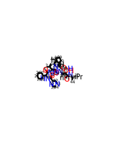 C=C(C)[C@H](NC(=O)[C@@H](NC(=O)c1cnccn1)C1CCCCC1)C(=O)N1C[C@@H]2CCC[C@@H]2[C@H]1C(=O)N[C@@H](CCC)C(O)C(=O)N[C@@H](C)C(C)C